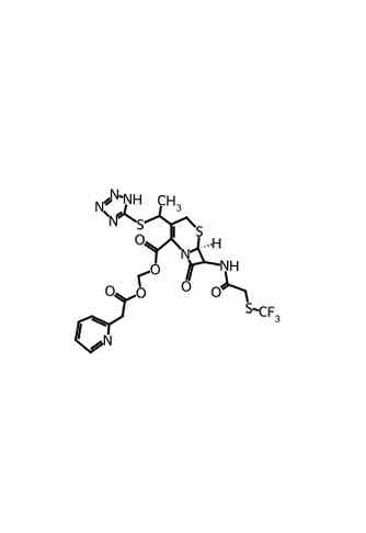 CC(Sc1nnn[nH]1)C1=C(C(=O)OCOC(=O)Cc2ccccn2)N2C(=O)C(NC(=O)CSC(F)(F)F)[C@@H]2SC1